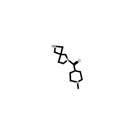 CN1CCC(C(=O)N2CCC3(CNC3)C2)CC1